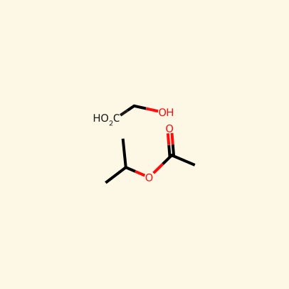 CC(=O)OC(C)C.O=C(O)CO